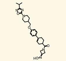 CC(C)c1noc(N2CCC(COc3ccc(C4=CCC(C(=O)N5CC(=NO)C5)CC4)cc3)CC2)n1